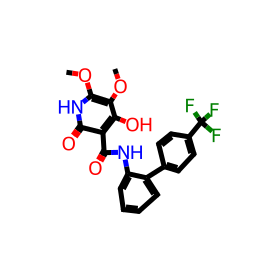 COc1[nH]c(=O)c(C(=O)Nc2ccccc2-c2ccc(C(F)(F)F)cc2)c(O)c1OC